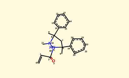 C=CC(=O)NC(C)(CC(C)(c1ccccc1)N(C)C)c1ccccc1